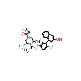 C=CC(=O)N1CC(C)N(C(=C)S/N=C2\CC=C(Cl)C(c3cc(O)cc4ccccc34)=C2F)[C@H](C)C1